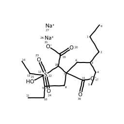 CCCC(CC)CC(CC(CC)CCC)(C(=O)[O-])C(C(=O)[O-])S(=O)(=O)O.[Na+].[Na+]